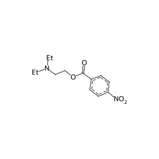 CCN(CC)CCOC(=O)c1ccc([N+](=O)[O-])cc1